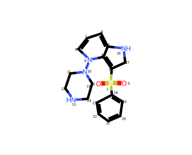 O=S(=O)(C1=C2C(=CC=CN2N2CCNCC2)NC1)c1ccccc1